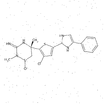 CN1C(=N)N[C@](C)(c2sc(C3NC=C(c4ccccc4)N3)cc2Cl)C[S+]1[O-]